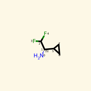 N[C@H](C(F)F)C1CC1